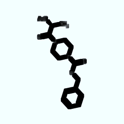 CC(=O)O[C@@H](C)C(=O)N1CCN(C(=O)OCc2ccccc2)CC1